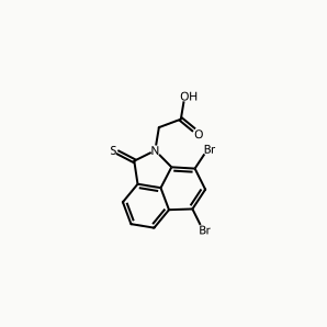 O=C(O)CN1C(=S)c2cccc3c(Br)cc(Br)c1c23